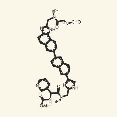 CCCN(Cc1nc2ccc3cc(-c4ccc5cc(-c6c[nH]c(CN(CCC)C(=O)C(NC(=O)OC)c7cccnc7)n6)ccc5c4)ccc3c2[nH]1)C(=O)CNC=O